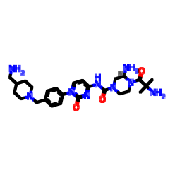 CC(C)(N)C(=O)N1CCN(C(=O)Nc2ccn(-c3ccc(CN4CCC(CN)CC4)cc3)c(=O)n2)C[C@H]1N